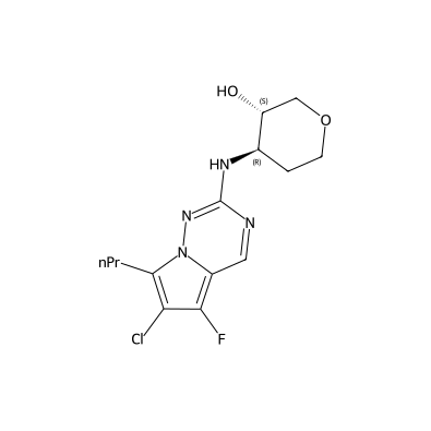 CCCc1c(Cl)c(F)c2cnc(N[C@@H]3CCOC[C@H]3O)nn12